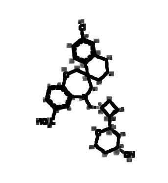 O=C(O)c1ccc2c(c1)N(C[C@@H]1CC[C@H]1[C@H]1C[C@H](O)CCO1)CC1(CCCc3cc(Cl)ccc31)CO2